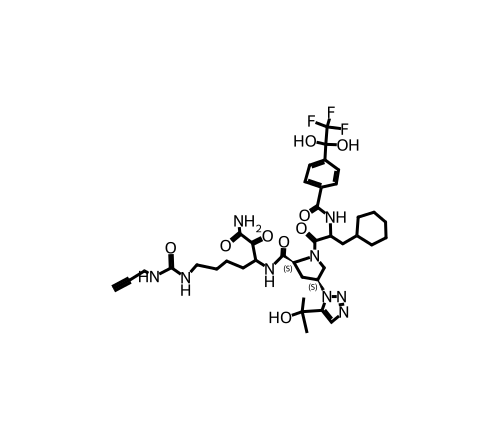 C#CCNC(=O)NCCCCC(NC(=O)[C@@H]1C[C@H](n2nncc2C(C)(C)O)CN1C(=O)C(CC1CCCCC1)NC(=O)c1ccc(C(O)(O)C(F)(F)F)cc1)C(=O)C(N)=O